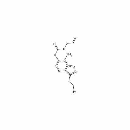 C=CCOC(=O)Oc1cnc2c(cnn2CCC(C)C)c1N